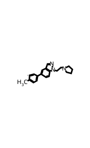 Cc1[c]cc(-c2ccc3c(cnn3CCN3CCCC3)c2)cc1